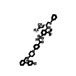 CN(C)CC[C@H](CSc1ccccc1)Nc1ccc(S(=O)(=O)NC(=O)c2ccc(N3CCC(NCc4ccccc4-c4ccc(Cl)cc4)CC3)cc2)cc1[N+](=O)[O-]